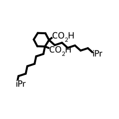 CC(C)CCCCCCC1(C(=O)O)CCCCC1(CCCCCCC(C)C)C(=O)O